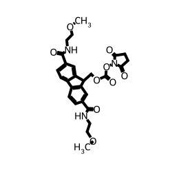 COCCNC(=O)c1ccc2c(c1)C(COC(=O)ON1C(=O)CCC1=O)c1cc(C(=O)NCCOC)ccc1-2